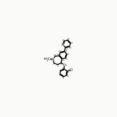 CN1CCC(Oc2ccccc2Cl)c2ccc(-c3ccccn3)cc2C1